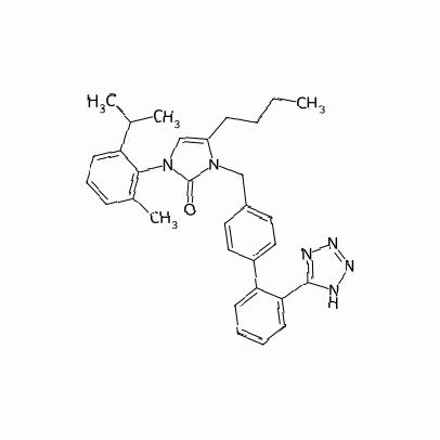 CCCCc1cn(-c2c(C)cccc2C(C)C)c(=O)n1Cc1ccc(-c2ccccc2-c2nnn[nH]2)cc1